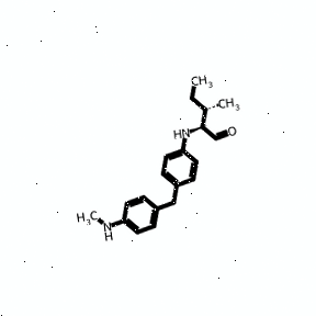 CC[C@H](C)[C@@H](C=O)Nc1ccc(Cc2ccc(NC)cc2)cc1